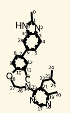 Cc1nc2ccc(-c3ccc4c(c3)CN(c3ncnc(C)c3CC(C)C)CCO4)cc2[nH]1